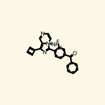 N[N+]12C=CN=CC1=C(C1=CC=C1)N=C2c1ccc(C(=O)c2ccccc2)cc1F